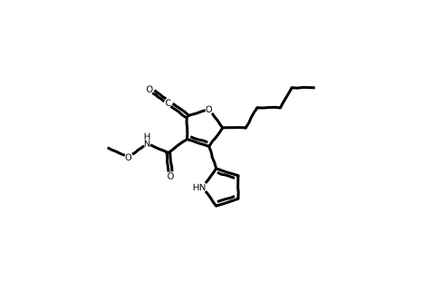 CCCCCC1OC(=C=O)C(C(=O)NOC)=C1c1ccc[nH]1